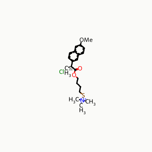 COc1ccc2cc([C@H](C)C(=O)OCCCCS[N+](C)(C)C)ccc2c1.[Cl-]